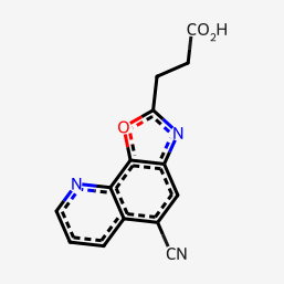 N#Cc1cc2nc(CCC(=O)O)oc2c2ncccc12